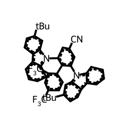 CC(C)(C)c1ccc2c3ccccc3n(-c3cc(C#N)cc(-n4c5ccccc5c5ccc(C(C)(C)C)cc54)c3-c3ccc(C(F)(F)F)cc3C(F)(F)F)c2c1